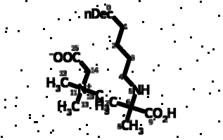 CCCCCCCCCCCCCCNC(C)(C)C(=O)O.C[N+](C)(C)CC(=O)[O-]